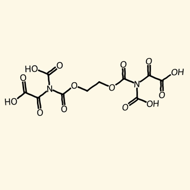 O=C(O)C(=O)N(C(=O)O)C(=O)OCCOC(=O)N(C(=O)O)C(=O)C(=O)O